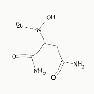 CCN(O)C(CC(N)=O)C(N)=O